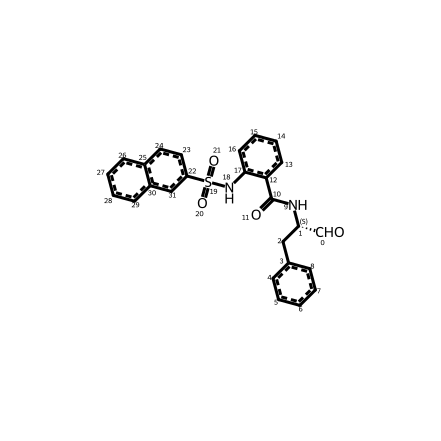 O=C[C@H](Cc1ccccc1)NC(=O)c1ccccc1NS(=O)(=O)c1ccc2ccccc2c1